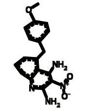 COc1ccc(Cc2cccc3nc(N)c([N+](=O)[O-])c(N)c23)cc1